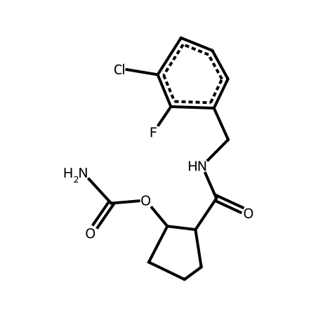 NC(=O)OC1CCCC1C(=O)NCc1cccc(Cl)c1F